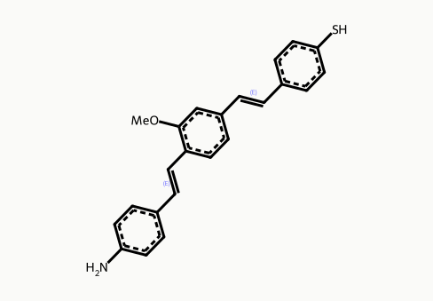 COc1cc(/C=C/c2ccc(S)cc2)ccc1/C=C/c1ccc(N)cc1